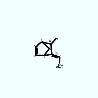 CC/C=C1\C2C=CC(C2)C1C